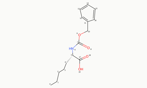 CCCCC[C@H](NC(=O)OCc1ccccc1)C(=O)O